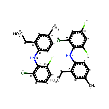 Cc1ccc(Nc2c(F)cc(F)cc2Cl)c(CC(=O)O)c1.Cc1ccc(Nc2c(F)cccc2Cl)c(CC(=O)O)c1